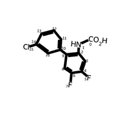 O=C(O)Nc1cc(F)c(F)cc1-c1cccc(Cl)c1